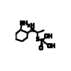 CC(NC1CCCCC1N)SP(=O)(O)O